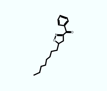 CCCCCCCCC1CC(C(=O)c2ccccc2)=NO1